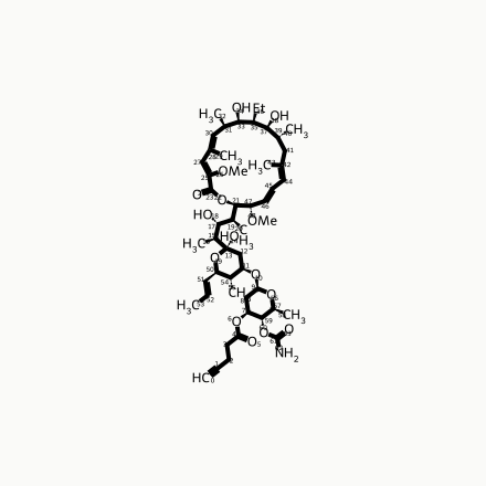 C#CCCC(=O)O[C@H]1C[C@@H](O[C@@H]2C[C@](O)([C@@H](C)[C@H](O)[C@H](C)[C@H]3OC(=O)/C(OC)=C/C(C)=C/[C@@H](C)[C@@H](O)[C@@H](CC)[C@@H](O)[C@H](C)C/C(C)=C/C=C/[C@@H]3OC)O[C@H](/C=C/C)[C@H]2C)O[C@@H](C)[C@@H]1OC(N)=O